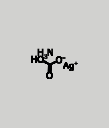 N.O=C([O-])O.[Ag+]